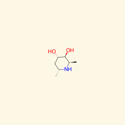 C[C@@H]1C[C@H](O)[C@@H](O)[C@@H](C)N1